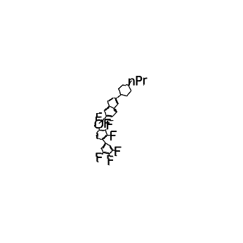 CCCC1CCC(c2ccc3cc(C(F)(F)Oc4ccc(-c5cc(F)c(F)c(F)c5)c(F)c4F)ccc3c2)CC1